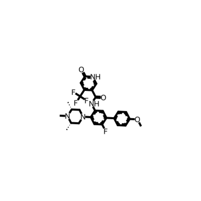 COc1ccc(-c2cc(NC(=O)c3c[nH]c(=O)cc3C(F)(F)F)c(N3C[C@@H](C)N(C)[C@@H](C)C3)cc2F)cc1